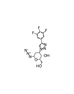 [N-]=[N+]=NC1C[C@@H](n2cc(-c3cc(F)c(F)c(F)c3)nn2)[C@H](O)[C@@H](CO)O1